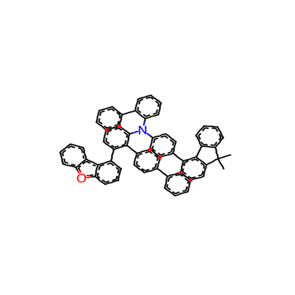 CC1(C)c2ccccc2-c2c(-c3ccc(N(c4ccccc4-c4ccccc4)c4cccc(-c5cccc6oc7ccccc7c56)c4-c4ccc(-c5ccccc5)cc4)cc3)cccc21